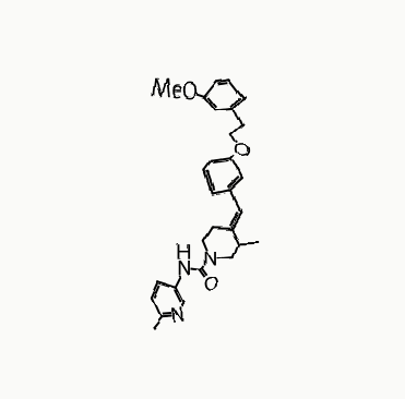 COc1cccc(CCOc2cccc(C=C3CCN(C(=O)Nc4ccc(C)nc4)CC3C)c2)c1